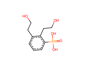 O=P(O)(O)c1cccc(CCO)c1CCO